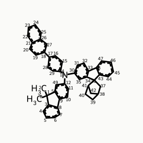 CC1(C)c2ccccc2-c2ccc(N(c3ccc(-c4ccc5ccccc5c4)cc3)c3ccc4c(c3)C3(CC5CCC3C5)c3ccccc3-4)cc21